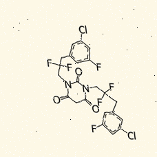 O=C1CC(=O)N(CC(F)(F)Cc2cc(F)cc(Cl)c2)C(=O)N1CC(F)(F)Cc1cc(F)cc(Cl)c1